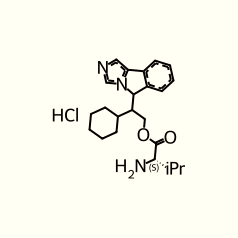 CC(C)[C@H](N)C(=O)OCC(C1CCCCC1)C1c2ccccc2-c2cncn21.Cl